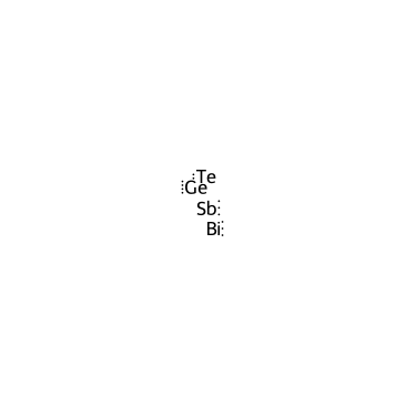 [Bi].[Ge].[Sb].[Te]